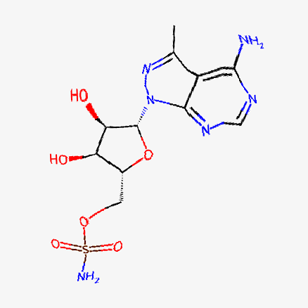 Cc1nn([C@@H]2O[C@H](COS(N)(=O)=O)[C@@H](O)[C@H]2O)c2ncnc(N)c12